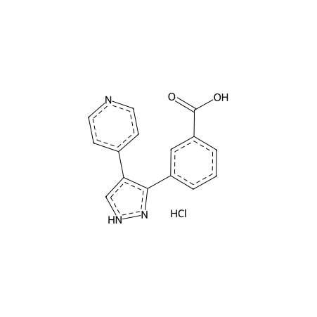 Cl.O=C(O)c1cccc(-c2n[nH]cc2-c2ccncc2)c1